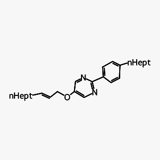 CCCCCCCC=CCOc1cnc(-c2ccc(CCCCCCC)cc2)nc1